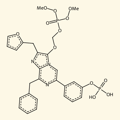 COOP(=O)(OCOc1c(Cc2ccco2)nc2c(Cc3ccccc3)nc(-c3cccc(OP(=O)(O)O)c3)cn12)OOC